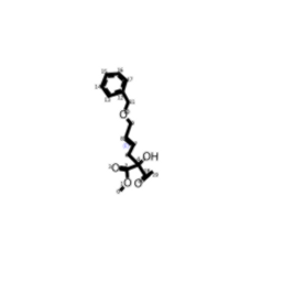 COC(=O)C(O)(C/C=C/COCc1ccccc1)C(C)=O